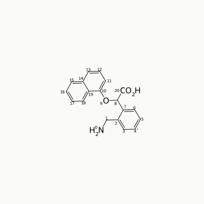 NCc1c[c]ccc1C(Oc1cccc2ccccc12)C(=O)O